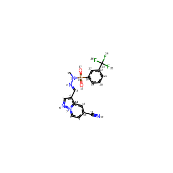 CN(N=Cc1cnn2ccc(C#N)cc12)S(=O)(=O)c1cccc(C(F)(F)F)c1